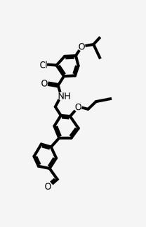 CCCOc1ccc(-c2cccc(C=O)c2)cc1CNC(=O)c1ccc(OC(C)C)cc1Cl